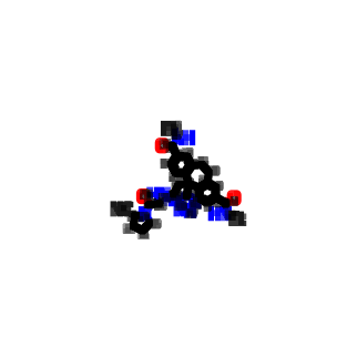 CCNC(=O)c1ccc2c(c1)CCc1cc(C(=O)NCC)ccc1C2(CCNCC(=O)N1CCCC1C#N)c1nnn[nH]1